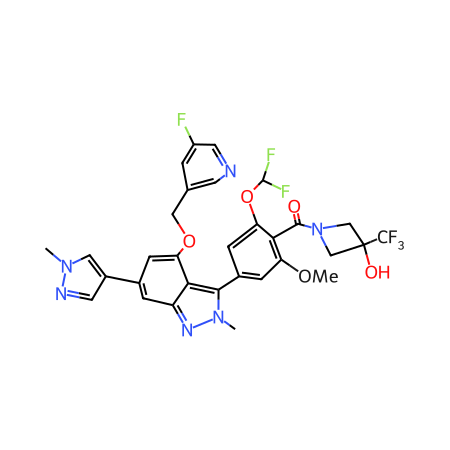 COc1cc(-c2c3c(OCc4cncc(F)c4)cc(-c4cnn(C)c4)cc3nn2C)cc(OC(F)F)c1C(=O)N1CC(O)(C(F)(F)F)C1